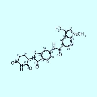 Cn1cc(C(F)(F)F)c2cc(C(=O)Nc3ccc4c(c3)CN(C3CCC(=O)NC3=O)C4=O)cnc21